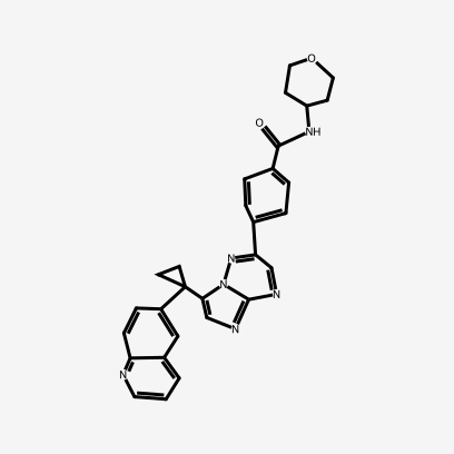 O=C(NC1CCOCC1)c1ccc(-c2cnc3ncc(C4(c5ccc6ncccc6c5)CC4)n3n2)cc1